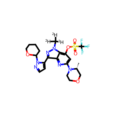 [2H]C([2H])([2H])n1nc(-c2ccnn2C2CCCCO2)c2nc(N3CCOC[C@H]3C)cc(OS(=O)(=O)C(F)(F)F)c21